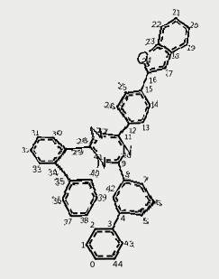 c1ccc(-c2cccc(-c3nc(-c4ccc(-c5cc6ccccc6o5)cc4)nc(-c4ccccc4-c4ccccc4)n3)c2)cc1